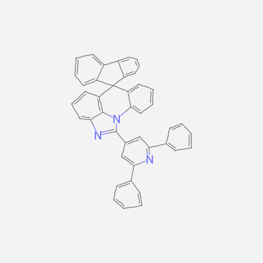 c1ccc(-c2cc(-c3nc4cccc5c4n3-c3ccccc3C53c4ccccc4-c4ccccc43)cc(-c3ccccc3)n2)cc1